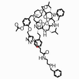 CC(=O)Oc1ccc(C[N+]2(CC(=O)N[C@@H](CCc3ccccc3)C(=O)N[C@@H](CC(C)C)C(=O)N[C@@H](Cc3ccccc3)C(=O)N[C@@H](CC(C)C)C(=O)[C@@]3(C)CO3)CCOCC2)cc1OCc1cn(CCCCC(=O)NCCPCc2ccccc2)nn1